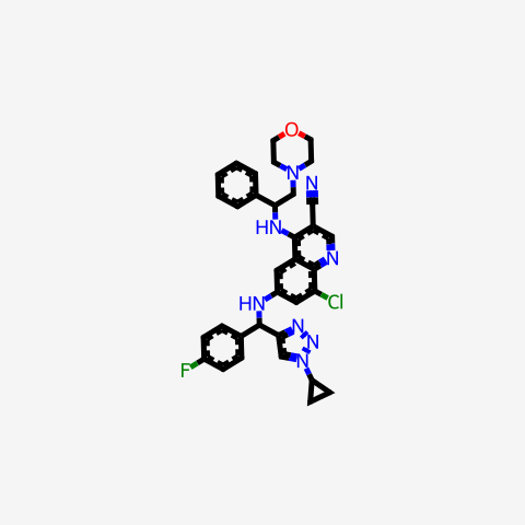 N#Cc1cnc2c(Cl)cc(NC(c3ccc(F)cc3)c3cn(C4CC4)nn3)cc2c1NC(CN1CCOCC1)c1ccccc1